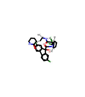 N#C[C@@H](C[C@H]1CCCNC1=O)NC(=O)[C@H]1[C@H]2CC[C@H](CC2(F)F)N1C(=O)C1(O)c2cc(F)ccc2-c2ccc(F)cc21